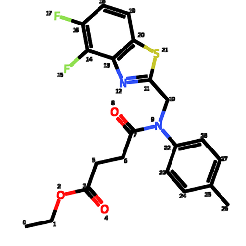 CCOC(=O)CCC(=O)N(Cc1nc2c(F)c(F)ccc2s1)c1ccc(C)cc1